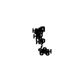 O=C1CCC(N2Cc3c(C#CCCCNC(=O)c4ccc(NC(=O)[C@@H]5NC6(CCCCC6)[C@@]6(C(=O)Nc7cc(Cl)ccc76)C5c5cccc(Cl)c5F)cc4)cccc3C2=O)C(=O)N1